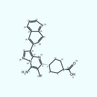 Nc1c(Br)c([C@H]2CC[C@H](C(=O)O)CC2)nc2c(-c3ccc4ncccc4c3)cnn12